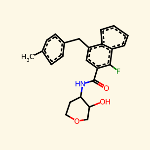 Cc1ccc(Cc2cc(C(=O)NC3CCOCC3O)c(F)c3ccccc23)cc1